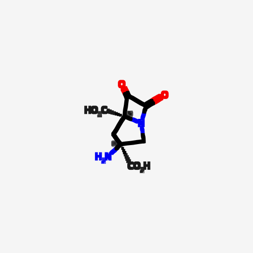 N[C@]1(C(=O)O)CN2C(=O)C(=O)[C@]2(C(=O)O)C1